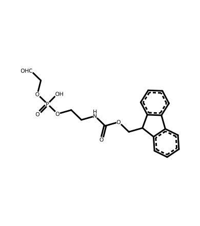 O=CCOP(=O)(O)OCCNC(=O)OCC1c2ccccc2-c2ccccc21